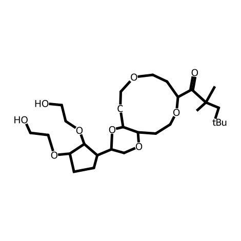 CC(C)(C)CC(C)(C)C(=O)C1CCOCCC2OC(C3CCC(OCCO)C3OCCO)COC2CCO1